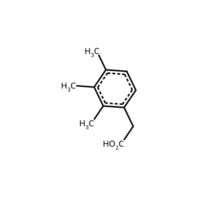 Cc1ccc(CC(=O)O)c(C)c1C